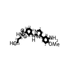 COc1ccc(-c2ccnc(Nc3cccc(S(=O)(=O)NCCCO)c3)n2)cc1N